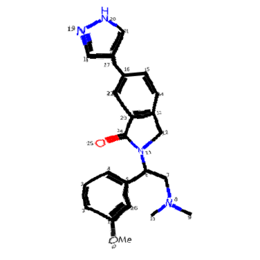 COc1cccc(C(CN(C)C)N2Cc3ccc(-c4cn[nH]c4)cc3C2=O)c1